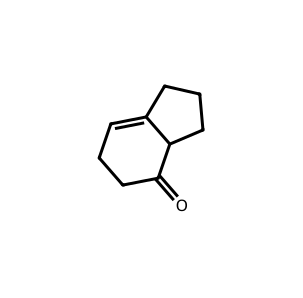 O=C1CCC=C2CCCC12